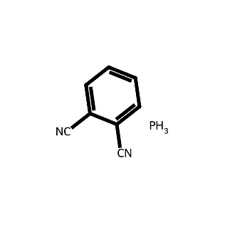 N#Cc1ccccc1C#N.P